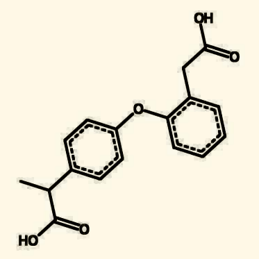 CC(C(=O)O)c1ccc(Oc2ccccc2CC(=O)O)cc1